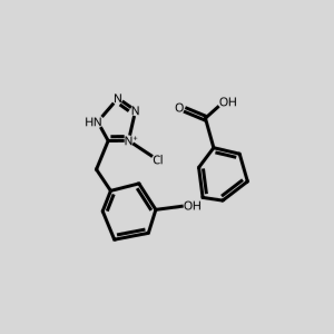 O=C(O)c1ccccc1.Oc1cccc(Cc2[nH]nn[n+]2Cl)c1